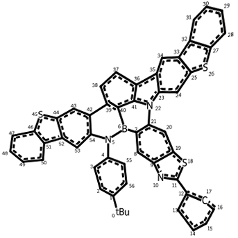 CC(C)(C)c1ccc(N2B3c4cc5nc(-c6ccccc6)sc5cc4-n4c5cc6sc7ccccc7c6cc5c5ccc(c3c54)-c3cc4sc5ccccc5c4cc32)cc1